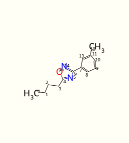 CCCCc1nc(-c2cccc(C)c2)no1